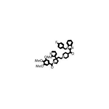 COc1cc(C(=O)N2CCC(CCN3CCC(C(=O)c4nc5ccccc5n4Cc4ccc(F)cc4)CC3)(c3cccnc3)C2)cc(OC)c1OC